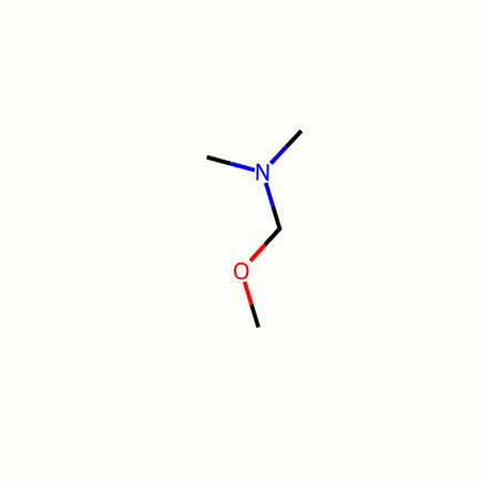 COCN(C)C